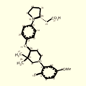 COc1ccc(F)c(N2CCC(Oc3ccc(N4CCC[C@@H]4CC(=O)O)cc3)C(C)(C)C2)c1